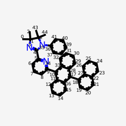 CC1(C)N=C(c2cccc(-c3c4ccccc4c(-c4cccc5ccccc45)c4ccccc34)n2)N(c2ccccc2)C1(C)C